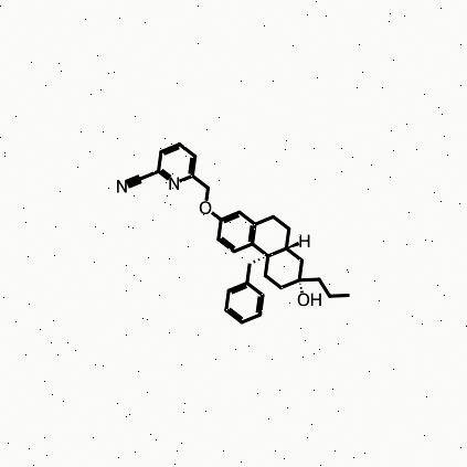 CCC[C@@]1(O)CC[C@@]2(Cc3ccccc3)c3ccc(OCc4cccc(C#N)n4)cc3CC[C@@H]2C1